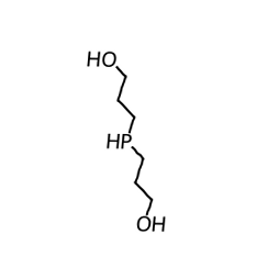 OCCCPCCCO